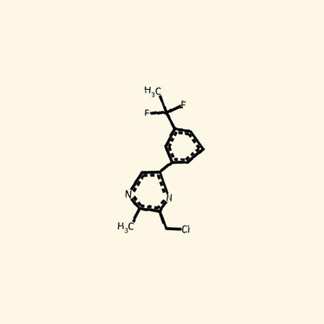 Cc1ncc(-c2cccc(C(C)(F)F)c2)nc1CCl